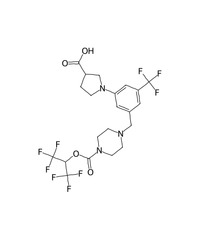 O=C(O)C1CCN(c2cc(CN3CCN(C(=O)OC(C(F)(F)F)C(F)(F)F)CC3)cc(C(F)(F)F)c2)C1